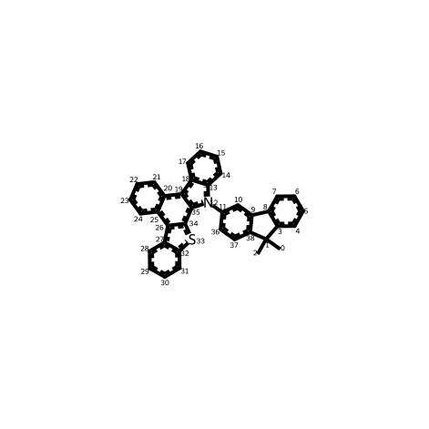 CC1(C)c2ccccc2-c2cc(-n3c4ccccc4c4c5ccccc5c5c6ccccc6sc5c43)ccc21